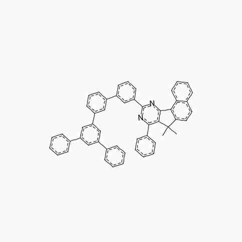 CC1(C)c2ccc3ccccc3c2-c2nc(-c3cccc(-c4cccc(-c5cc(-c6ccccc6)cc(-c6ccccc6)c5)c4)c3)nc(-c3ccccc3)c21